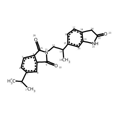 CC(C)c1ccc2c(c1)C(=O)N(CC(C)c1ccc3c(c1)NC(=O)C3)C2=O